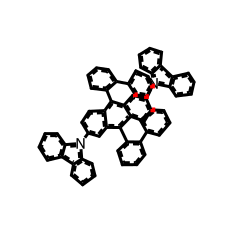 c1ccc(-c2ccccc2-c2c3ccc(-n4c5ccccc5c5ccccc54)cc3c(-c3ccccc3-c3ccccc3)c3ccc(-n4c5ccccc5c5ccccc54)cc23)cc1